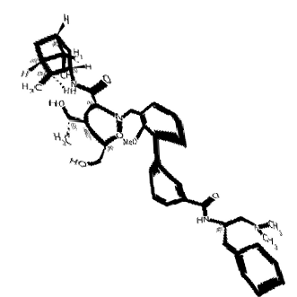 COc1c(CN2O[C@@H](CO)[C@@H]([C@H](C)O)[C@H]2C(=O)N[C@H]2C[C@H]3C[C@@H]([C@@H]2C)C3(C)C)cccc1-c1cccc(C(=O)N[C@H](Cc2ccccc2)CN(C)C)c1